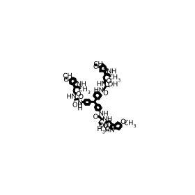 COc1ccc2[nH]c(C)c(CC(=O)N[C@@H](CO)C(=O)Nc3ccc(C(c4ccc(NC(=O)[C@H](CO)NC(=O)Cc5c(C)[nH]c6ccc(OC)cc56)cc4)c4ccc(NC(=O)[C@H](CO)NC(=O)Cc5c(C)[nH]c6ccc(OC)cc56)cc4)cc3)c2c1